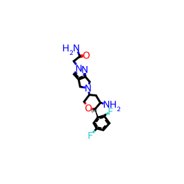 NC(=O)Cn1cc2c(n1)CN(C1CO[C@H](c3cc(F)ccc3F)C(N)C1)C2